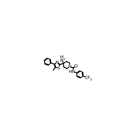 Cc1sc(C2(N)CCN(C(=O)Nc3ccc(C(F)(F)F)cc3)CC2)nc1-c1ccccc1